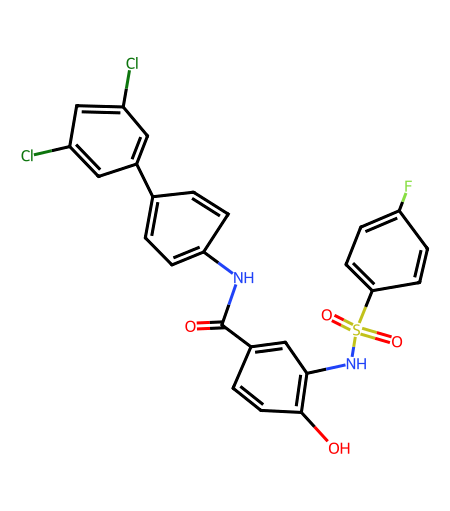 O=C(Nc1ccc(-c2cc(Cl)cc(Cl)c2)cc1)c1ccc(O)c(NS(=O)(=O)c2ccc(F)cc2)c1